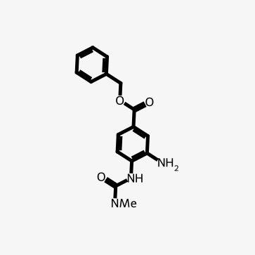 CNC(=O)Nc1ccc(C(=O)OCc2ccccc2)cc1N